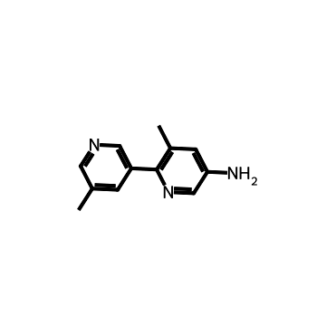 Cc1cncc(-c2ncc(N)cc2C)c1